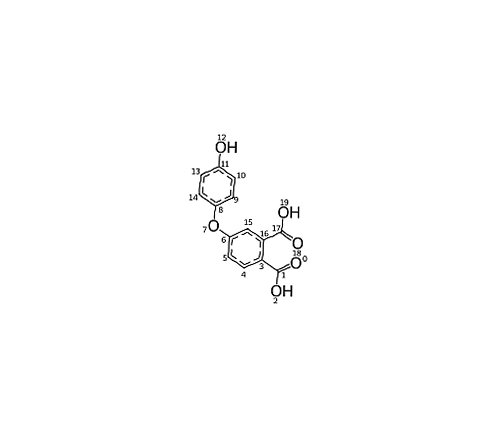 O=C(O)c1ccc(Oc2ccc(O)cc2)cc1C(=O)O